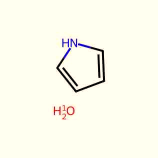 [1OH2].c1cc[nH]c1